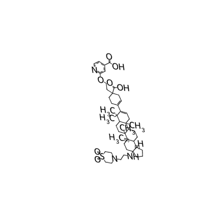 CC1(C)C(C2=CCC(CCOc3cc(C(=O)O)ccn3)(C(=O)O)CC2)=CCC2(C)C1CCC1(C)C2CCC2[C@H]3CCCC3(NCCN3CCS(=O)(=O)CC3)CC[C@]21C